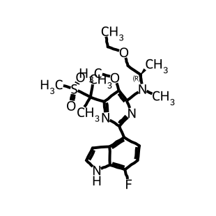 CCOC[C@@H](C)N(C)c1nc(-c2ccc(F)c3[nH]ccc23)nc(C(C)(C)S(C)(=O)=O)c1OC